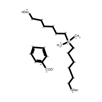 CCCCCCCCCCCCCCCC[N+](C)(C)CCCCCCCCCCCCCCCC.O=C([O-])c1ccccc1